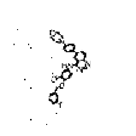 Fc1cccc(COc2ccc(Nc3ncnc4ccc(-c5ccc(N6CCOCC6)cc5)cc34)cc2Cl)c1